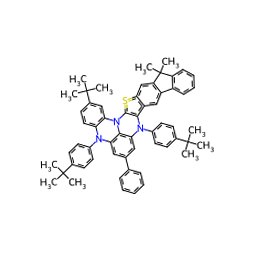 CC(C)(C)c1ccc(N2c3ccc(C(C)(C)C)cc3N3c4sc5cc6c(cc5c4N(c4ccc(C(C)(C)C)cc4)c4cc(-c5ccccc5)cc2c43)-c2ccccc2C6(C)C)cc1